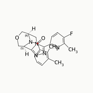 Cc1cccc(C(=O)N2[C@H]3COC[C@@H]2c2nnc(-c4ccc(F)c(C)n4)n2C3)c1C